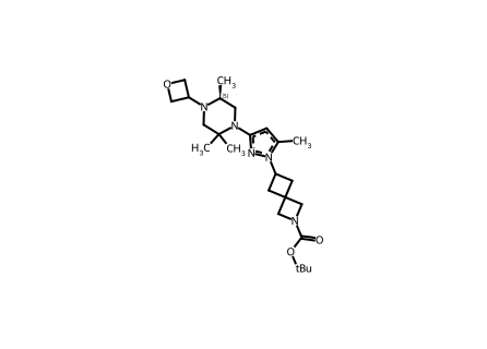 Cc1cc(N2C[C@H](C)N(C3COC3)CC2(C)C)nn1C1CC2(C1)CN(C(=O)OC(C)(C)C)C2